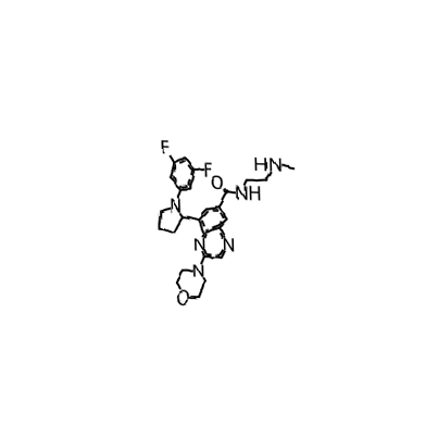 CNCCNC(=O)c1cc(C2CCCN2c2cc(F)cc(F)c2)c2nc(N3CCOCC3)cnc2c1